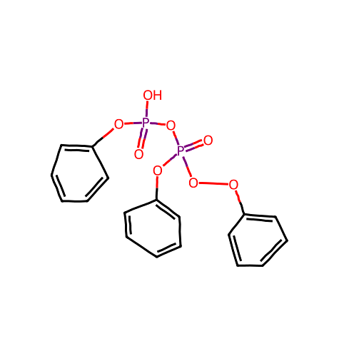 O=P(O)(Oc1ccccc1)OP(=O)(OOc1ccccc1)Oc1ccccc1